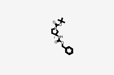 CC(C)(C)OC(=O)N1CC[C@](C)(NC(=O)OCc2ccccc2)C1